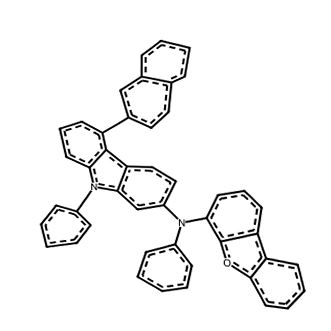 c1ccc(N(c2ccc3c4c(-c5ccc6ccccc6c5)cccc4n(-c4ccccc4)c3c2)c2cccc3c2oc2ccccc23)cc1